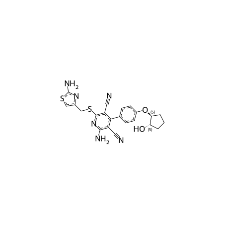 N#Cc1c(N)nc(SCc2csc(N)n2)c(C#N)c1-c1ccc(O[C@H]2CCC[C@@H]2O)cc1